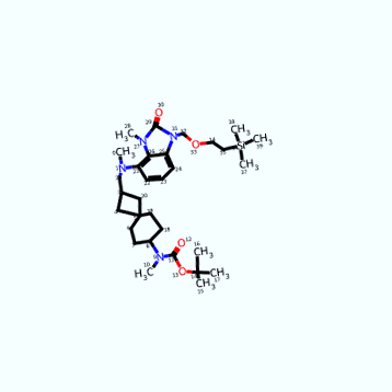 CN(CC1CC2(CCC(N(C)C(=O)OC(C)(C)C)CC2)C1)c1cccc2c1n(C)c(=O)n2COCC[Si](C)(C)C